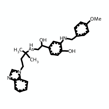 COc1ccc(CNc2cc(C(O)C[AsH]C(C)(C)CCn3cnc4ccccc43)ccc2O)cc1